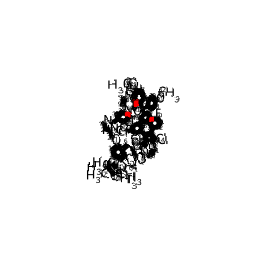 CCOC(=O)[C@@H](Cc1cc(O[Si](C)(C)C(C)(C)C)ccc1OCc1ccnc(-c2ccccc2OC)n1)Oc1nccn2c(Cl)c(-c3ccc(F)cc3)c(-c3ccc(O[C@@H](COC(c4ccccc4)(c4ccc(OC)cc4)c4ccc(OC)cc4)CN4CCN(C)CC4)c(Cl)c3C)c12